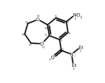 CCN(CC)C(=O)c1cc([N+](=O)[O-])cc2c1OCCCO2